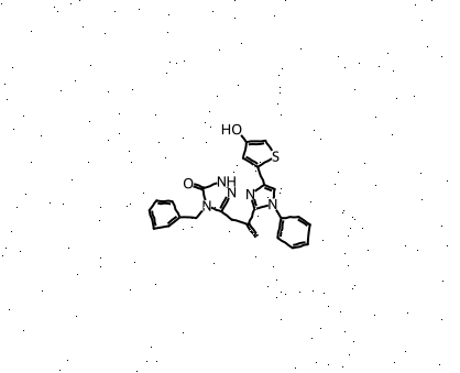 C=C(Cc1n[nH]c(=O)n1Cc1ccccc1)c1nc(-c2cc(O)cs2)cn1-c1ccccc1